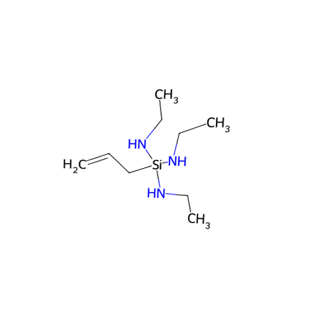 C=CC[Si](NCC)(NCC)NCC